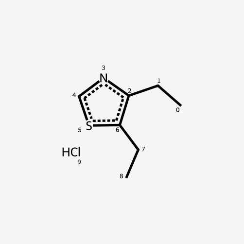 CCc1ncsc1CC.Cl